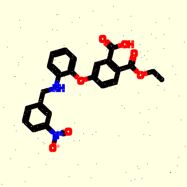 CCOC(=O)c1ccc(Oc2ccccc2NCc2cccc([N+](=O)[O-])c2)cc1C(=O)O